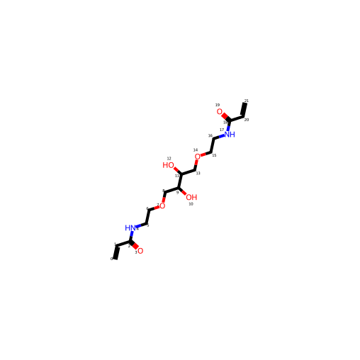 C=CC(=O)NCCOCC(O)C(O)COCCNC(=O)C=C